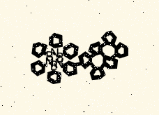 c1ccc(B2N(c3ccccc3)B(c3ccccc3)N(c3cccc(-c4ccc5c6cccc7c6-c6c(cccc6c6ccccc6c5c4)c4ccccc4c4ccccc74)c3)B(c3ccccc3)N2c2ccccc2)cc1